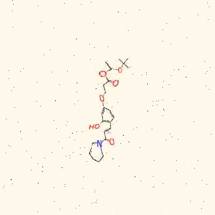 CC(OC(=O)CCOc1ccc(/C=C/C(=O)N2CCCCC2)c(O)c1)OC(C)(C)C